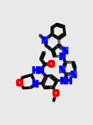 C=CC(=O)Nc1cc(Nc2nccc(-n3cc4c(n3)-c3ccccc3N(C)C4)n2)c(OC)cc1N1CCOCC1